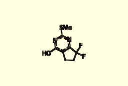 CSc1nc(O)c2c(n1)C(F)(F)CC2